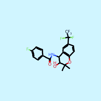 CC1(C)Oc2ccc(C(F)(F)C(F)(F)F)cc2C(NC(=O)c2ccc(F)cc2)C1O